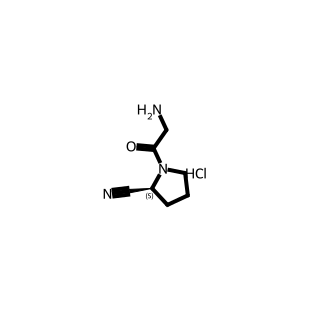 Cl.N#C[C@@H]1CCCN1C(=O)CN